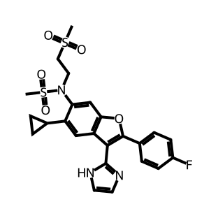 CS(=O)(=O)CCN(c1cc2oc(-c3ccc(F)cc3)c(-c3ncc[nH]3)c2cc1C1CC1)S(C)(=O)=O